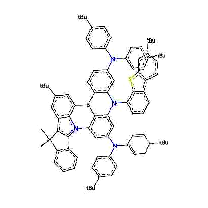 CC(C)(C)c1ccc(N(C2=CCC(C(C)(C)C)C=C2)c2cc3c4c(c2)-n2c5c(c6cc(C(C)(C)C)cc(c62)B4c2ccc(N(c4ccc(C(C)(C)C)cc4)c4ccc(C(C)(C)C)cc4)cc2N3c2cccc3c2sc2cc(C(C)(C)C)ccc23)C(C)(C)c2ccccc2-5)cc1